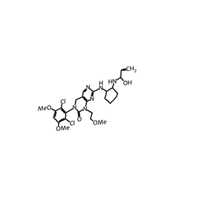 C=CC(O)NC1CCCCC1Nc1ncc2c(n1)N(CCOC)C(=O)N(c1c(Cl)c(OC)cc(OC)c1Cl)C2